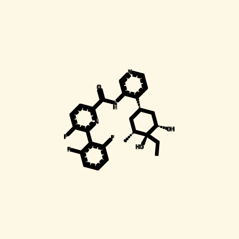 CC[C@]1(O)[C@H](C)C[C@H](c2ccncc2NC(=O)c2ccc(F)c(-c3c(F)cccc3F)n2)C[C@@H]1O